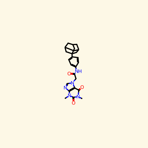 Cn1c(=O)c2c(ncn2CC(=O)Nc2ccc(C34CC5CC(CC(C5)C3)C4)cc2)n(C)c1=O